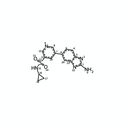 Nc1nc2ccc(-c3cncc(S(=O)(=O)NC4CC4)c3)cn2n1